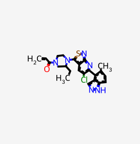 C=CC(=O)N1CCN(c2snc3nc(-c4c(C)ccc5[nH]ncc45)c(Cl)cc23)C(CC)C1